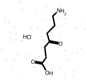 Cl.NCCCC(=O)CCC(=O)O